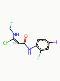 O=C(/C=C(/Cl)NCF)Nc1ccc(I)cc1F